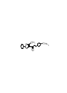 Cc1ccc(C=CC(=O)c2nc(-c3ccccc3)oc2C)cc1